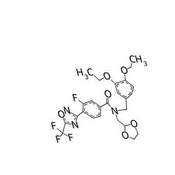 CCOc1ccc(CN(CC2OCCO2)C(=O)c2ccc(-c3noc(C(F)(F)F)n3)c(F)c2)cc1OCC